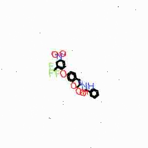 O=C(O)/C(=C\c1ccc(OC2=C(C(F)(F)F)CC([N+](=O)[O-])C=C2)cc1)NC(=O)c1ccccc1